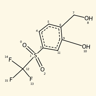 O=S(=O)(c1ccc(CO)c(O)c1)C(F)(F)F